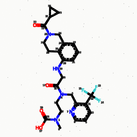 CN(CCN(Cc1ncccc1C(F)(F)F)C(=O)CNc1cccc2c1CCN(C(=O)C1CC1)C2)C(=O)O